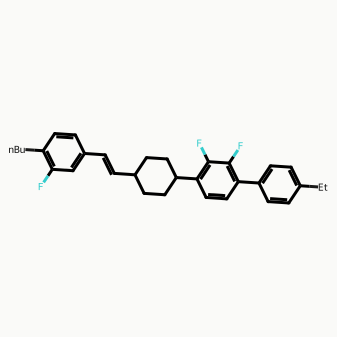 CCCCc1ccc(/C=C/C2CCC(c3ccc(-c4ccc(CC)cc4)c(F)c3F)CC2)cc1F